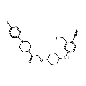 N#Cc1ccc(NC2CCC(OCC(=O)N3CCN(c4ccc(I)cc4)CC3)CC2)cc1CF